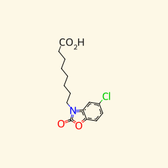 O=C(O)CCCCCCCn1c(=O)oc2ccc(Cl)cc21